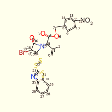 C=C(C)[C@H](C(=O)OCc1ccc([N+](=O)[O-])cc1)N1C(=O)[C@H](Br)[C@H]1SSc1nc2ccccc2s1